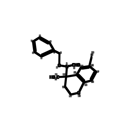 O=CN(OCc1ccccc1)C1(C(=O)O)CCOc2ccc(F)cc21